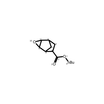 CCCCOC(=O)C1CC2CC1C1OC21